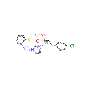 Nc1ccccc1SC[C@@H]1CO[C@](CCc2ccc(Cl)cc2)(Cn2ccnc2)O1